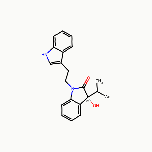 CC(=O)C(C)[C@]1(O)C(=O)N(CCc2c[nH]c3ccccc23)c2ccccc21